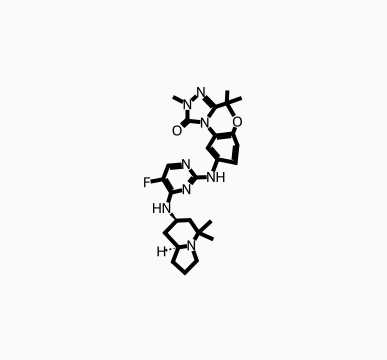 Cn1nc2n(c1=O)-c1cc(Nc3ncc(F)c(N[C@@H]4C[C@@H]5CCCN5C(C)(C)C4)n3)ccc1OC2(C)C